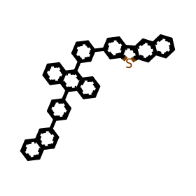 c1cc(-c2ccc3c(c2)sc2cc4ccccc4cc23)cc(-c2c3ccccc3c(-c3ccc(-c4ccc5ccccc5c4)cc3)c3ccccc23)c1